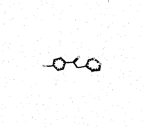 O=C(Cc1ccnnc1)c1ccc(Br)cc1